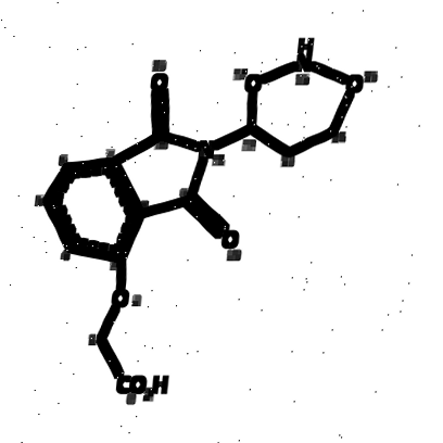 O=C(O)COc1cccc2c1C(=O)N(C1CCONO1)C2=O